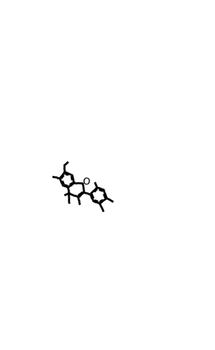 CCc1cc2c(cc1C)C(C)(C)C(C)=C(c1cc(C)c(C)cc1C)C2=O